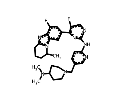 CC1CCCc2nc3c(F)cc(-c4nc(Nc5ccc(CN6CCC(N(C)C)CC6)cn5)ncc4F)cc3n21